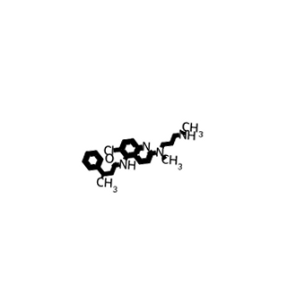 CNCCCN(C)c1ccc2c(NC(=O)C[C@@H](C)c3ccccc3)c(Cl)ccc2n1